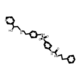 O=C(NCCc1ccccc1)Nc1ccc(S(=O)(=O)Nc2ccc(CCNCC(O)c3cccnc3)cc2)cc1